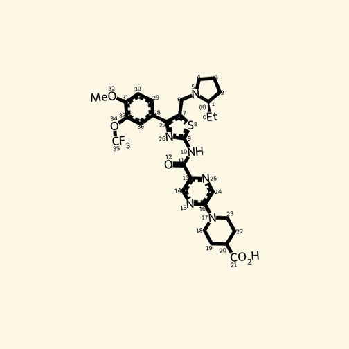 CC[C@@H]1CCCN1Cc1sc(NC(=O)c2cnc(N3CCC(C(=O)O)CC3)cn2)nc1-c1ccc(OC)c(OC(F)(F)F)c1